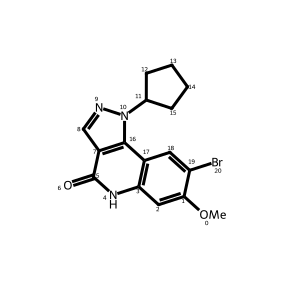 COc1cc2[nH]c(=O)c3cnn(C4CCCC4)c3c2cc1Br